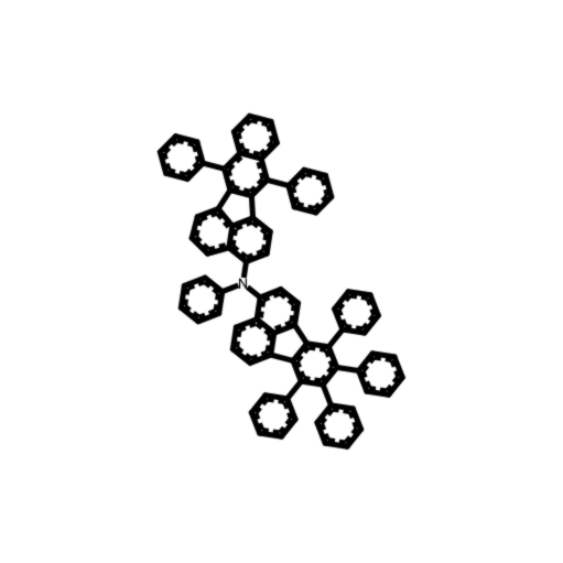 c1ccc(-c2c(-c3ccccc3)c(-c3ccccc3)c3c(c2-c2ccccc2)-c2cccc4c(N(c5ccccc5)c5ccc6c7c(cccc57)-c5c-6c(-c6ccccc6)c6ccccc6c5-c5ccccc5)ccc-3c24)cc1